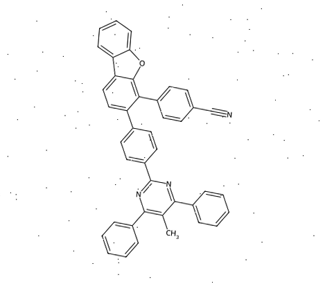 Cc1c(-c2ccccc2)nc(-c2ccc(-c3ccc4c(oc5ccccc54)c3-c3ccc(C#N)cc3)cc2)nc1-c1ccccc1